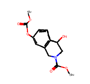 CC(C)(C)OC(=O)Oc1ccc2c(c1)CN(C(=O)OC(C)(C)C)CC2O